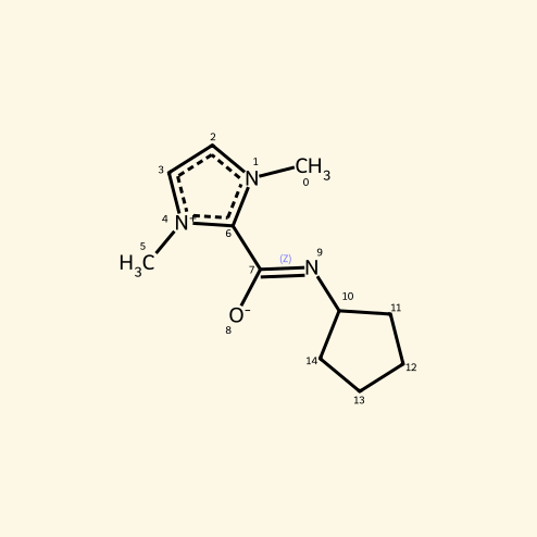 Cn1cc[n+](C)c1/C([O-])=N/C1CCCC1